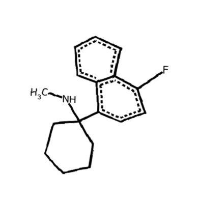 CNC1(c2ccc(F)c3ccccc23)CCCCC1